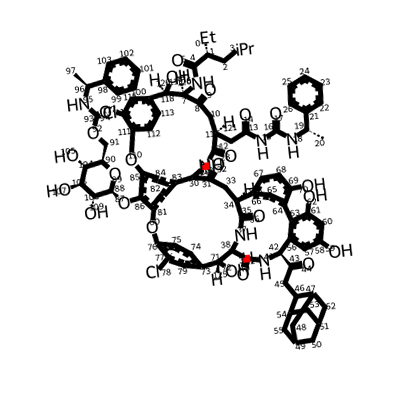 CC[C@H](CC(C)C)C(=O)N[C@H]1C(=O)C[C@@H](CC(=O)NC(=O)N[C@@H](C)c2ccccc2)C(=O)N[C@H]2C(=O)C[C@@H]3C(=O)N[C@H](C(=O)N[C@H](C(=O)CC4C5CC6CC(C5)CC4C6)c4cc(O)cc(O)c4-c4cc3ccc4O)[C@H](O)c3ccc(c(Cl)c3)Oc3cc2cc(c3O[C@@H]2O[C@H](COC(=O)N[C@@H](C)c3ccccc3)[C@@H](O)[C@H](O)[C@H]2O)Oc2ccc(cc2Cl)[C@H]1O